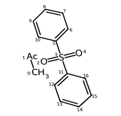 CC(C)=O.O=S(=O)(c1ccccc1)c1ccccc1